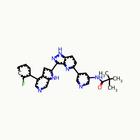 CC(C)(C)C(=O)Nc1cncc(-c2ccc3[nH]nc(-c4cc5c(-c6ccccc6F)cncc5[nH]4)c3n2)c1